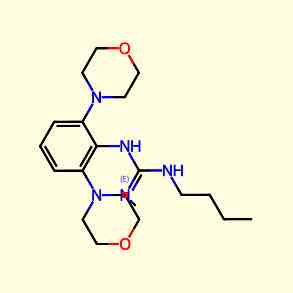 CCCCN/C(=N\C)Nc1c(N2CCOCC2)cccc1N1CCOCC1